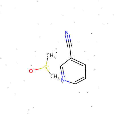 C[S+](C)[O-].N#Cc1cccnc1